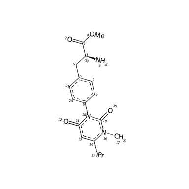 COC(=O)[C@@H](N)Cc1ccc(-n2c(=O)cc(C(C)C)n(C)c2=O)cc1